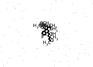 CC(=O)/C=C(\C)C[C@H](O)/C=C/c1c(-c2ccc(F)cc2)nc(N(C)S(C)(=O)=O)nc1C(C)C